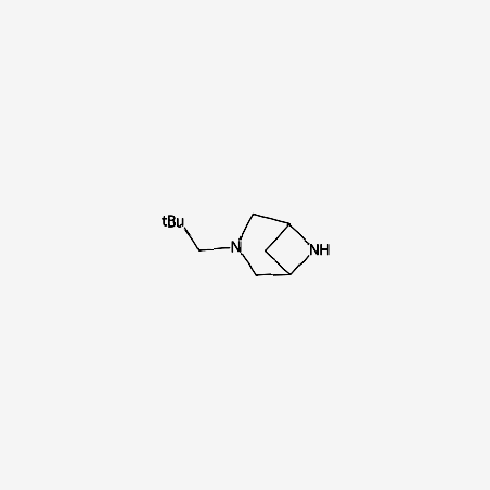 CC(C)(C)CN1CC2CC(C1)N2